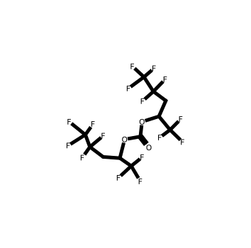 O=C(OC(CC(F)(F)C(F)(F)F)C(F)(F)F)OC(CC(F)(F)C(F)(F)F)C(F)(F)F